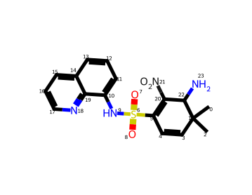 CC1(C)C=CC(S(=O)(=O)Nc2cccc3cccnc23)=C([N+](=O)[O-])C1N